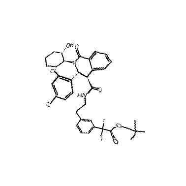 CC(C)(C)OC(=O)C(F)(F)c1cccc(CCNC(=O)[C@@H]2c3ccccc3C(=O)N([C@H]3CCCC[C@@H]3O)[C@H]2c2ccc(Cl)cc2Cl)c1